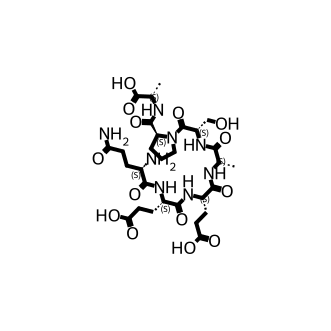 C[C@H](NC(=O)[C@@H]1CCCN1C(=O)[C@H](CO)NC(=O)[C@H](C)NC(=O)[C@H](CCC(=O)O)NC(=O)[C@H](CCC(=O)O)NC(=O)[C@@H](N)CCC(N)=O)C(=O)O